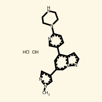 Cl.Cl.Cn1cc(-c2cc(-c3ccc(N4CCNCC4)nc3)c3ccnn3c2)cn1